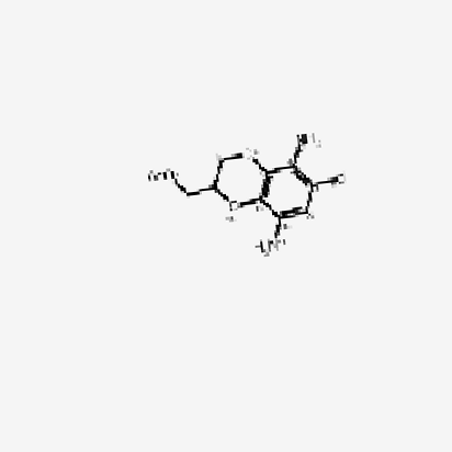 CC(=O)OCC1COc2c(N)c(Cl)cc(N)c2O1